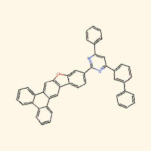 c1ccc(-c2cccc(-c3cc(-c4ccccc4)nc(-c4ccc5c(c4)oc4cc6c7ccccc7c7ccccc7c6cc45)n3)c2)cc1